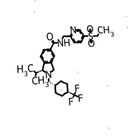 CCS(=O)(=O)c1ccc(CNC(=O)c2ccc3c(c2)CN(C[C@H]2CC[C@H](C(F)(F)F)CC2)[C@H]3C(C)C)nc1